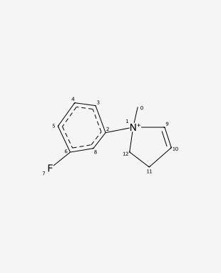 C[N+]1(c2cccc(F)c2)C=CCC1